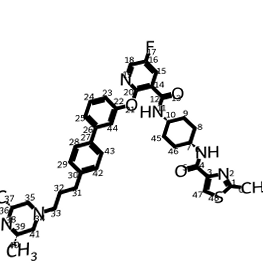 Cc1nc(C(=O)N[C@H]2CC[C@@H](NC(=O)c3cc(F)cnc3Oc3cccc(-c4ccc(CCCN5C[C@@H](C)N[C@@H](C)C5)cc4)c3)CC2)cs1